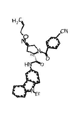 C=CCON=C1C[C@@H](C(=O)Nc2ccc3c(c2)c2ccccc2n3CC)N(C(=O)c2ccc(C#N)cc2)C1